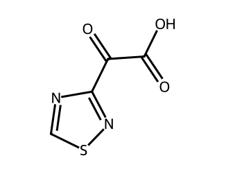 O=C(O)C(=O)c1ncsn1